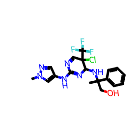 Cn1cc(NC2=NC(NC(C)(CO)c3ccccc3)C(Cl)(C(F)(F)F)C=N2)cn1